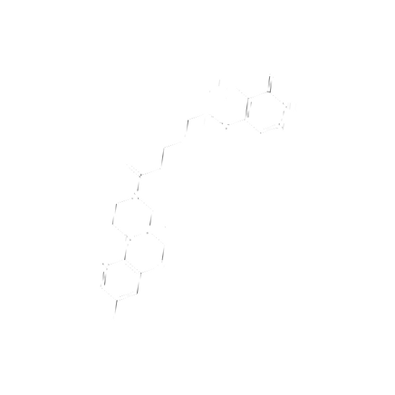 C[Si@@H](COCCC(=O)N1CCN2c3ncc(Cl)cc3OC[Si@@H]2C1)Nc1cn[nH]c(=O)c1C(F)(F)F